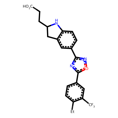 CCc1ccc(-c2nc(-c3ccc4c(c3)CC(CCC(=O)O)N4)no2)cc1C(F)(F)F